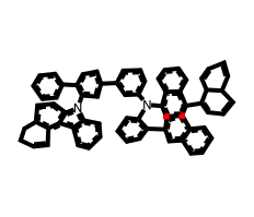 C1=CC2C=CC=C(c3ccc(N(c4cccc(-c5ccc(-c6ccccc6)c(-n6c7ccccc7c7c8c(ccc76)CCC=C8)c5)c4)c4ccccc4-c4ccc5ccccc5c4)c4ccccc34)C2C=C1